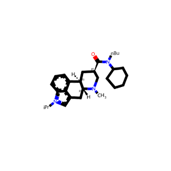 CCCCN(C(=O)[C@@H]1C[C@@H]2c3cccc4c3c(cn4C(C)C)C[C@H]2N(C)C1)C1CCCCC1